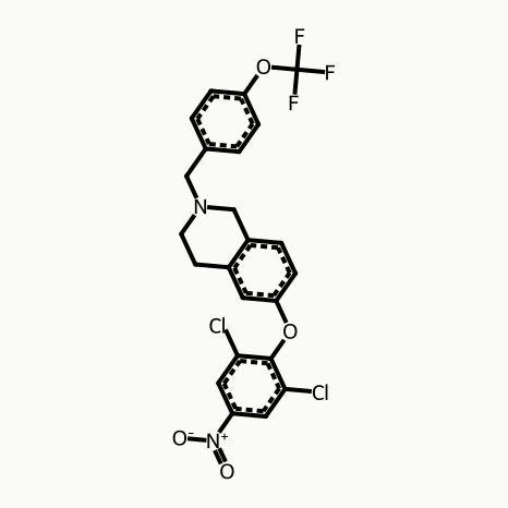 O=[N+]([O-])c1cc(Cl)c(Oc2ccc3c(c2)CCN(Cc2ccc(OC(F)(F)F)cc2)C3)c(Cl)c1